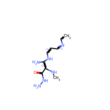 C=C/N=C\C=C/N/C(N)=C(\NC)C(=O)NN